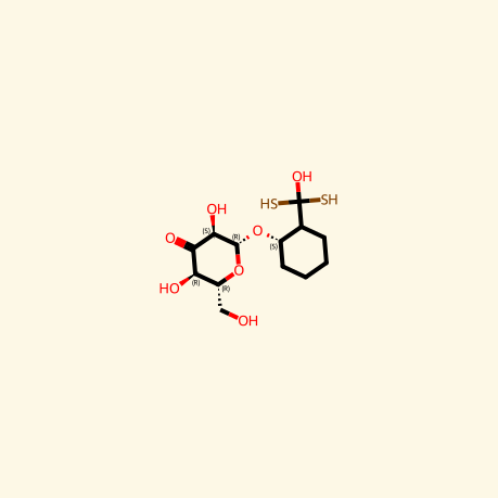 O=C1[C@@H](O)[C@H](O[C@H]2CCCCC2C(O)(S)S)O[C@H](CO)[C@H]1O